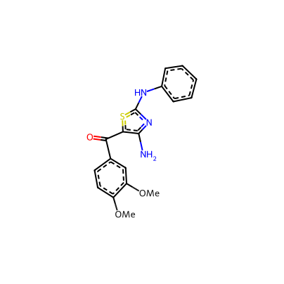 COc1ccc(C(=O)c2sc(Nc3ccccc3)nc2N)cc1OC